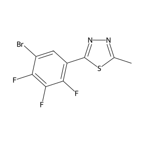 Cc1nnc(-c2cc(Br)c(F)c(F)c2F)s1